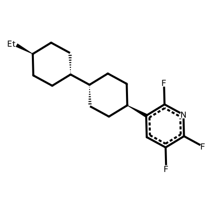 CC[C@H]1CC[C@H]([C@H]2CC[C@H](c3cc(F)c(F)nc3F)CC2)CC1